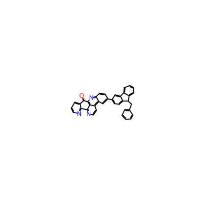 O=C1c2cccnc2-c2nccc3c2c1nc1ccc(-c2ccc4c(c2)-c2ccccc2C4Cc2ccccc2)cc13